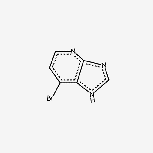 Brc1ccnc2nc[nH]c12